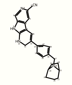 N#Cc1cc2c3c([nH]c2cn1)NCC(c1ccc(CN2C4CCCC2CC4)cc1)=C3